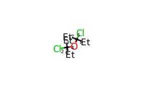 CCC(Cl)(CC)OC(Cl)(CC)CC